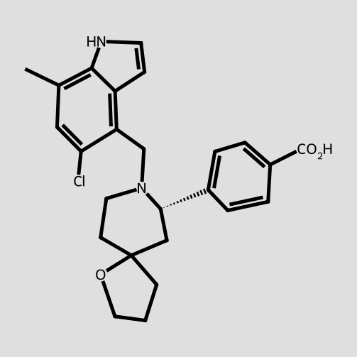 Cc1cc(Cl)c(CN2CCC3(CCCO3)C[C@H]2c2ccc(C(=O)O)cc2)c2cc[nH]c12